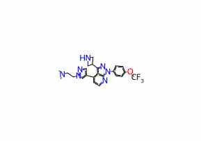 CN(C)CCn1cc(-c2ccnc3c2c(C2CNC2)nn3-c2ccc(OC(F)(F)F)cc2)cn1